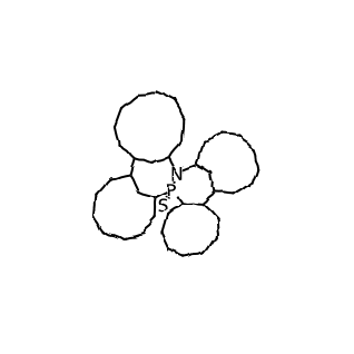 S=P12C3CCCCCCCC(C3)C3CCCCCCCCC(C3)N1C1CCCCCCCC(C1)C1CCCCCCCC12